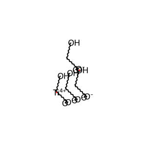 O=C([O-])CCCCCCC/C=C\CCCCCCCCO.O=C([O-])CCCCCCC/C=C\CCCCCCCCO.O=C([O-])CCCCCCC/C=C\CCCCCCCCO.O=C([O-])CCCCCCC/C=C\CCCCCCCCO.[Ti+4]